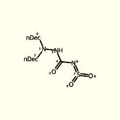 CCCCCCCCCCN(CCCCCCCCCC)NC(=O)N=S(=O)=O